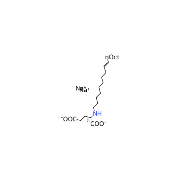 CCCCCCCCC=CCCCCCCCCN[C@@H](CCC(=O)[O-])C(=O)[O-].[Na+].[Na+]